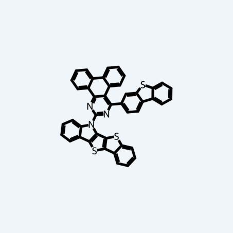 c1ccc2c(c1)sc1cc(-c3nc(-n4c5ccccc5c5sc6c7ccccc7sc6c54)nc4c5ccccc5c5ccccc5c34)ccc12